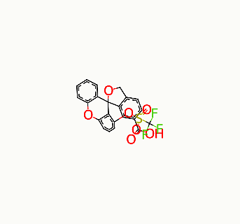 O=C(O)c1ccc2c(c1)C1(OC2)c2ccccc2Oc2cccc(OS(=O)(=O)C(F)(F)F)c21